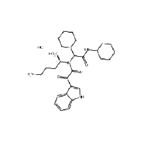 Cl.NCCC[C@@H](C(=O)O)N(C(=O)C(=O)c1c[nH]c2ccccc12)C(C(=O)NC1CCCCC1)C1CCCCC1